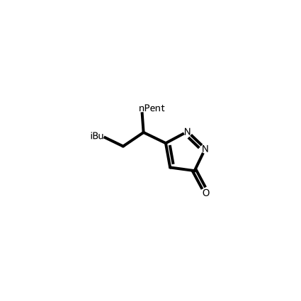 CCCCCC(CC(C)CC)C1=CC(=O)N=N1